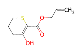 C=CCOC(=O)C1=C(O)CCCS1